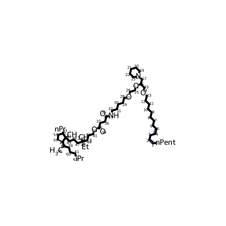 CCCCC/C=C\C/C=C\CCCCCCCCOCC(CN1CCCCC1)OCCOCCCCCNC(=O)CCC(=O)OCCC[C@@](C)(CC)CCC[C@@]1(C)C(CCC)CC[C@@H]1[C@H](C)CCCC(C)C